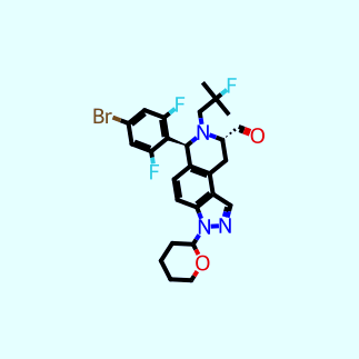 CC(C)(F)CN1[C@H](c2c(F)cc(Br)cc2F)c2ccc3c(cnn3C3CCCCO3)c2C[C@H]1C=O